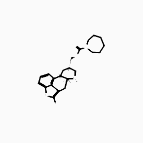 CN1C[C@H](COC(=O)N2CCCCCC2)C[C@@H]2c3cccc4[nH]c(Br)c(c34)C[C@H]21